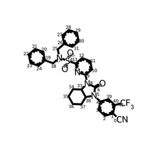 N#Cc1ccc(N2C(=O)N(c3cccc(S(=O)(=O)N(Cc4ccccc4)Cc4ccccc4)n3)C3CCCCC32)cc1C(F)(F)F